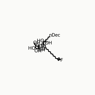 CCCCCCCCCCCCCC[C@@H](O)[C@@H](O)[C@H](COC1OC(CO)C(O)C(O)C1O)N=S(C)(=O)CCCCCCCCCCC12CC(F)(C1)C2